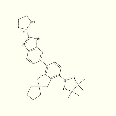 CC1(C)OB(c2ccc(-c3ccc4nc([C@@H]5CCCN5)[nH]c4c3)c3c2CC2(CCCC2)C3)OC1(C)C